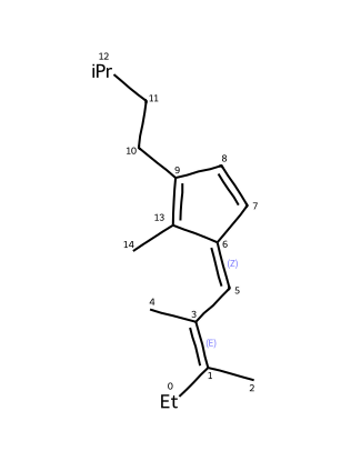 CC/C(C)=C(C)/C=C1/C=CC(CCC(C)C)=C1C